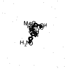 COc1cc(CP(=O)(O)O)ccc1Nc1ncc(C(F)(F)F)c(Nc2ccc(C3=CCN(C(N)=O)CC3)c3c2C(=O)N(C)C3)n1